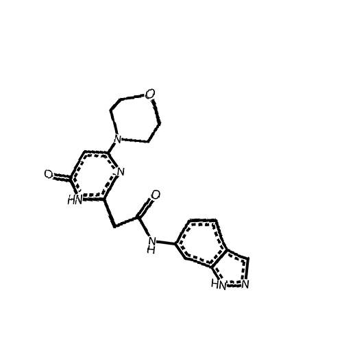 O=C(Cc1nc(N2CCOCC2)cc(=O)[nH]1)Nc1ccc2cn[nH]c2c1